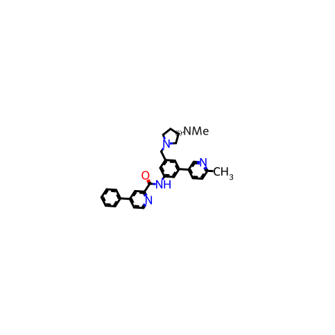 CN[C@H]1CCN(Cc2cc(NC(=O)c3cc(-c4ccccc4)ccn3)cc(-c3ccc(C)nc3)c2)C1